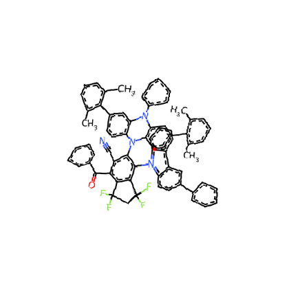 Cc1cccc(C)c1-c1ccc2c(c1)N(c1ccccc1)c1cc(-c3c(C)cccc3C)ccc1N2c1c(C#N)c(C(=O)c2ccccc2)c2c(c1-n1c3ccccc3c3cc(-c4ccccc4)ccc31)C(F)(F)CC2(F)F